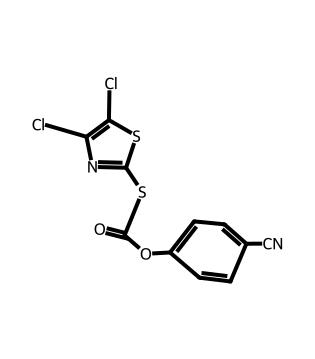 N#Cc1ccc(OC(=O)Sc2nc(Cl)c(Cl)s2)cc1